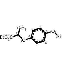 CCOC(=O)C(C)Oc1ccc(OCC)cc1